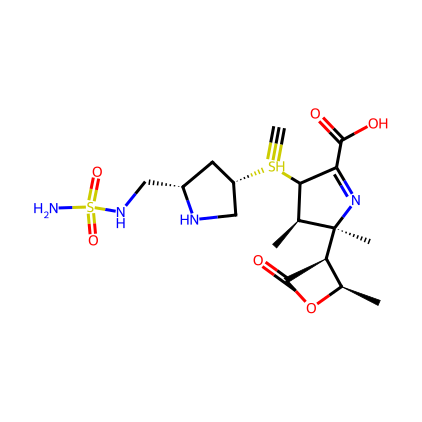 C#[SH](C1C(C(=O)O)=N[C@@](C)([C@@H]2C(=O)O[C@@H]2C)[C@H]1C)[C@@H]1CN[C@H](CNS(N)(=O)=O)C1